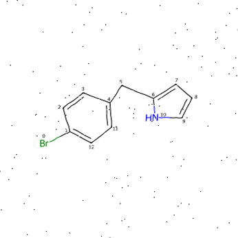 Brc1ccc(Cc2ccc[nH]2)cc1